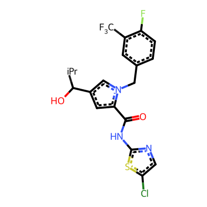 CC(C)C(O)c1cc(C(=O)Nc2ncc(Cl)s2)n(Cc2ccc(F)c(C(F)(F)F)c2)c1